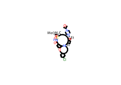 CCO[C@]1(CN2CCN(C3COC3)CC2)CCC[C@H](C)[C@@H](CCOC)S(=O)(=O)NC(=O)c2ccc3c(c2)N(CCCCc2cc(Cl)ccc2CO3)C[C@@H]2CC[C@H]21